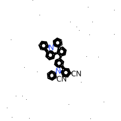 N#Cc1ccc2c(c1)c1cc(-c3ccccc3-c3cccc4c5ccccc5n(-c5ccccc5)c34)ccc1n2-c1ccccc1C#N